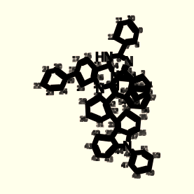 c1ccc(C2=NC(c3ccccc3)NC(c3ccc(-c4ccccc4)cc3-n3c4cccc(-c5cccc6c5c5ccccc5n6-c5ccccc5)c4c4c5ccccc5ccc43)N2)cc1